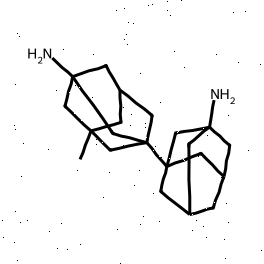 CC12CC3CC(N)(C1)CC(C14CC5CC(CC(N)(C5)C1)C4)(C3)C2